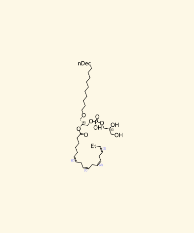 CC/C=C\C/C=C\C/C=C\C/C=C\CCCCC(=O)O[C@H](COCCCCCCCCCCCCCCCCCCCC)COP(=O)(O)OC[C@@H](O)CO